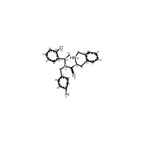 CC(=O)c1ccc(CN(C(=O)[C@@H]2Cc3ccccc3CN2)[C@H](C)c2ccccc2Cl)cc1